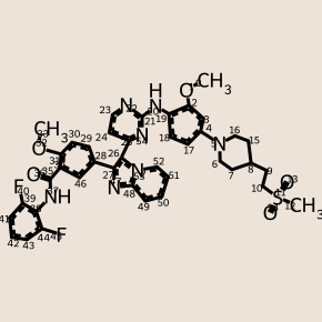 COc1cc(N2CCC(CCS(C)(=O)=O)CC2)ccc1Nc1nccc(-c2c(-c3ccc(OC)c(C(=O)Nc4c(F)cccc4F)c3)nc3ccccn23)n1